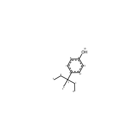 CCC(I)(CC)c1ccc(O)cc1